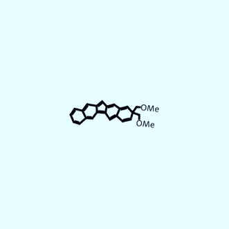 COCC1(COC)C=Cc2cc3c(cc2=C1)C=c1cc2ccccc2cc1=3